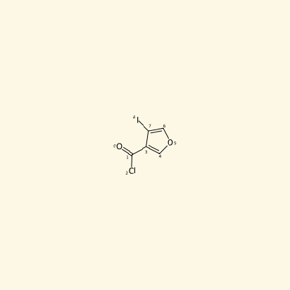 O=C(Cl)c1cocc1I